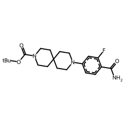 CC(C)(C)OC(=O)N1CCC2(CC1)CCN(c1ccc(C(N)=O)c(F)c1)CC2